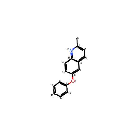 Cc1ccc2cc(Oc3ccccc3)ccc2n1